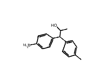 Bc1ccc(C(c2ccc(C)cc2)C(C)O)cc1